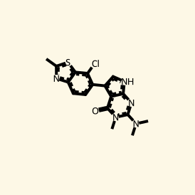 Cc1nc2ccc(-c3c[nH]c4nc(N(C)C)n(C)c(=O)c34)c(Cl)c2s1